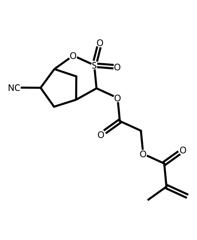 C=C(C)C(=O)OCC(=O)OC1C2CC(C#N)C(C2)OS1(=O)=O